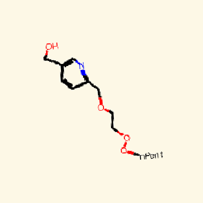 CCCCCOOCCOCc1ccc(CO)cn1